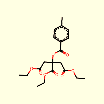 CCOC(=O)CC(CC(=O)OCC)(OC(=O)c1ccc(C)cc1)C(=O)OCC